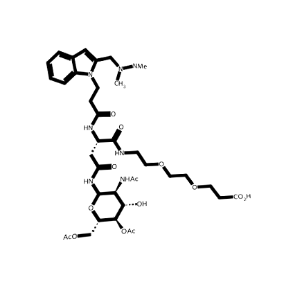 CNN(C)Cc1cc2ccccc2n1CCC(=O)N[C@@H](CC(=O)NC1O[C@@H](COC(C)=O)[C@H](OC(C)=O)[C@@H](O)[C@@H]1NC(C)=O)C(=O)NCCOCCOCCC(=O)O